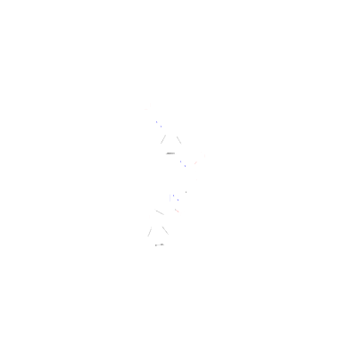 O=C(NC[C@H]1CN(c2ccc(N3CCOCC3)c(F)c2)C(=O)O1)c1coc2ccccc12